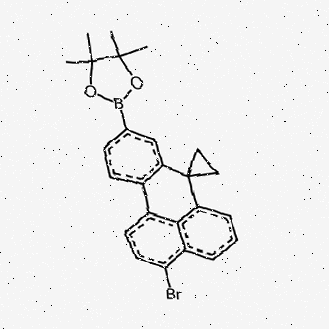 CC1(C)OB(c2ccc3c(c2)C2(CC2)c2cccc4c(Br)ccc-3c24)OC1(C)C